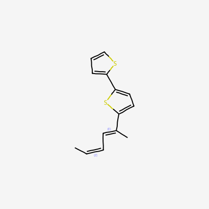 C/C=C\C=C(/C)c1ccc(-c2cccs2)s1